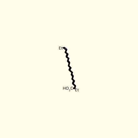 CC/C=C\CC=CCC=CCC=CCC=CCC=CCC(CC)C(=O)O